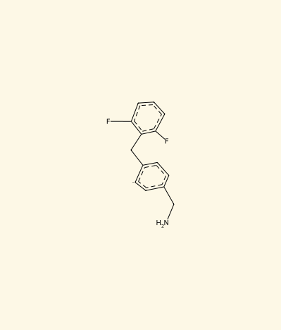 NCc1c[c]c(Cc2c(F)cccc2F)cc1